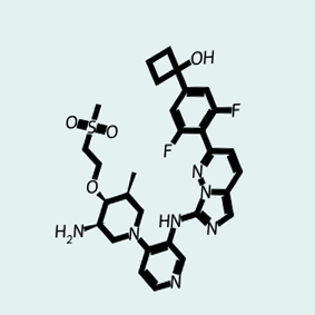 C[C@H]1CN(c2ccncc2Nc2ncc3ccc(-c4c(F)cc(C5(O)CCC5)cc4F)nn23)C[C@@H](N)[C@H]1OCCS(C)(=O)=O